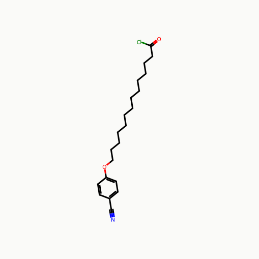 N#Cc1ccc(OCCCCCCCCCCCCCC(=O)Cl)cc1